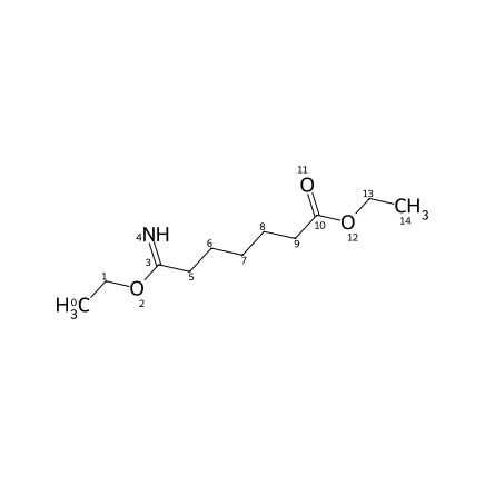 CCOC(=N)CCCCCC(=O)OCC